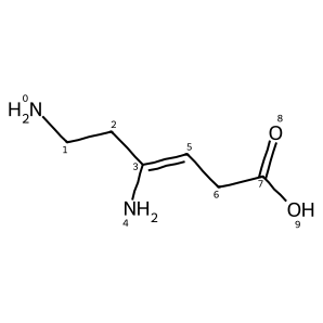 NCCC(N)=CCC(=O)O